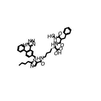 CCCCc1ncc(C(=O)NCCCC[C@H](NC(=O)C(Cc2ccccc2)C(=O)NO)C(=O)O)n1Cc1ccc(-c2ccccc2)c(-c2nnn[nH]2)c1